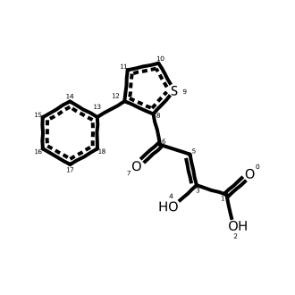 O=C(O)C(O)=CC(=O)c1sccc1-c1ccccc1